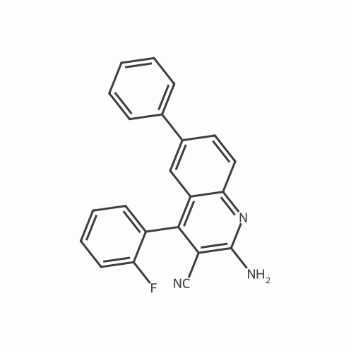 N#Cc1c(N)nc2ccc(-c3ccccc3)cc2c1-c1ccccc1F